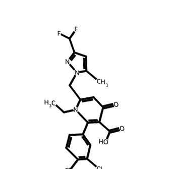 CCn1c(Cn2nc(C(F)F)cc2C)cc(=O)c(C(=O)O)c1-c1ccc(Cl)c(Cl)c1